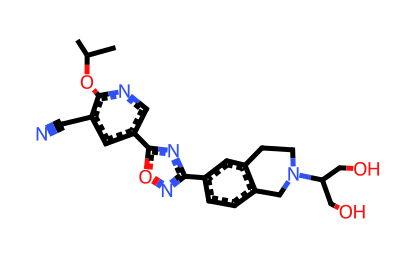 CC(C)Oc1ncc(-c2nc(-c3ccc4c(c3)CCN(C(CO)CO)C4)no2)cc1C#N